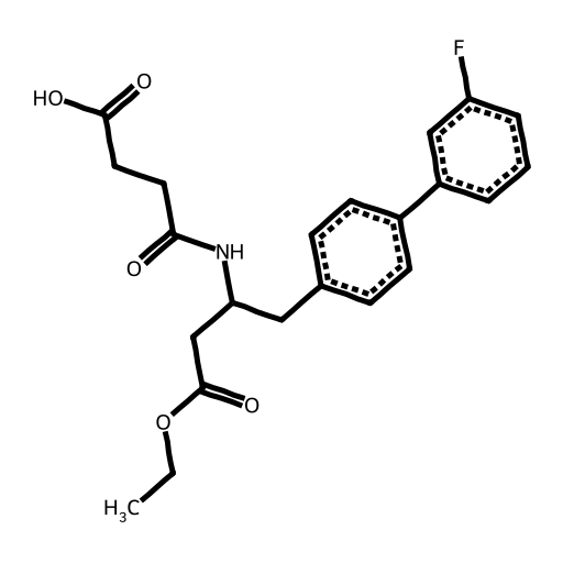 CCOC(=O)CC(Cc1ccc(-c2cccc(F)c2)cc1)NC(=O)CCC(=O)O